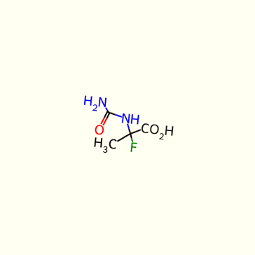 CC(F)(NC(N)=O)C(=O)O